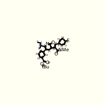 C/C=C(\C)c1nc2oc(-c3ccc(F)cc3)c(C(=O)NC)c2cc1-c1cccc(C(=O)OC(C)(C)C)c1